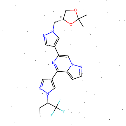 CCC(n1cc(-c2nc(-c3cnn(C[C@@H]4COC(C)(C)O4)c3)cn3nccc23)cn1)C(F)(F)F